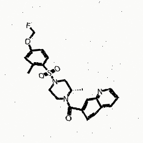 Cc1cc(OCF)ccc1S(=O)(=O)N1CCN(C(=O)c2ccc3cccnc3c2)[C@@H](C)C1